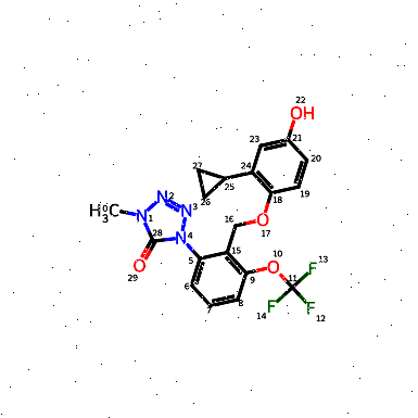 Cn1nnn(-c2cccc(OC(F)(F)F)c2COc2ccc(O)cc2C2CC2)c1=O